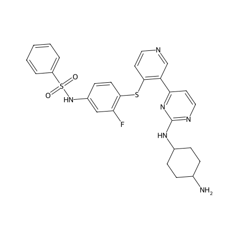 NC1CCC(Nc2nccc(-c3cnccc3Sc3ccc(NS(=O)(=O)c4ccccc4)cc3F)n2)CC1